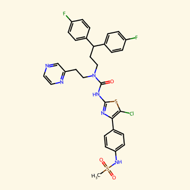 CS(=O)(=O)Nc1ccc(-c2nc(NC(=O)N(CCc3cnccn3)CCC(c3ccc(F)cc3)c3ccc(F)cc3)sc2Cl)cc1